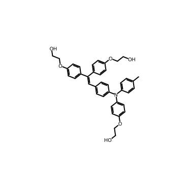 Cc1ccc(N(c2ccc(C=C(c3ccc(OCCO)cc3)c3ccc(OCCO)cc3)cc2)c2ccc(OCCO)cc2)cc1